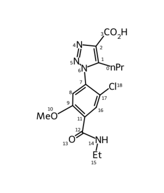 CCCc1c(C(=O)O)nnn1-c1cc(OC)c(C(=O)NCC)cc1Cl